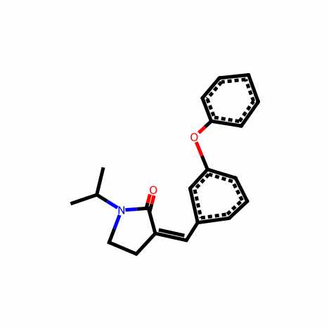 CC(C)N1CCC(=Cc2cccc(Oc3ccccc3)c2)C1=O